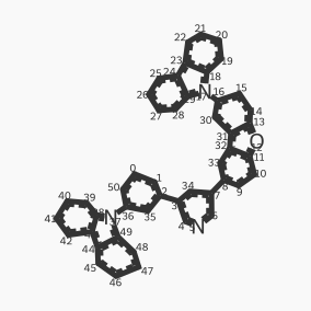 c1cc(-c2cncc(-c3ccc4oc5ccc(-n6c7ccccc7c7ccccc76)cc5c4c3)c2)cc(-n2c3ccccc3c3ccccc32)c1